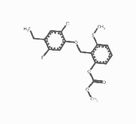 CCc1cc(Cl)c(OCc2c(OC(=O)OC)cccc2SC)cc1F